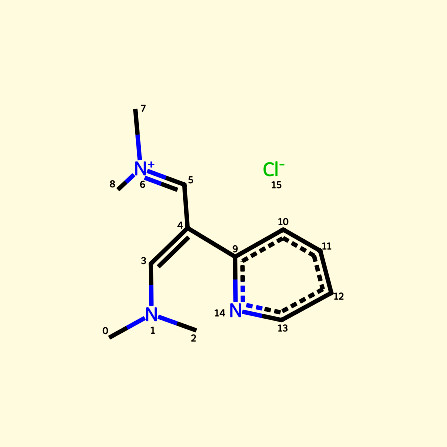 CN(C)/C=C(/C=[N+](C)C)c1ccccn1.[Cl-]